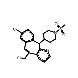 CS(=O)(=O)N1CCC(C2c3ccc(Cl)cc3C=C(CCl)c3cccnc32)CC1